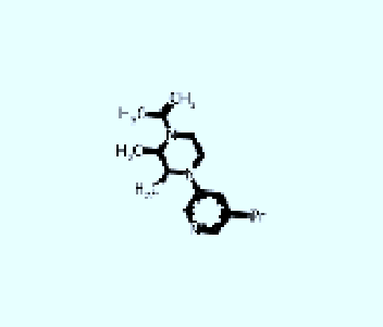 C=C(C)N1CCN(c2cncc(C(C)C)c2)C(C)C1C